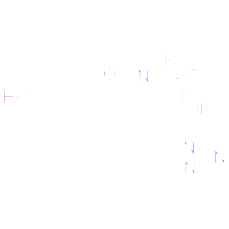 OCc1ccc(Oc2ccc(C(O)Cn3cncn3)c(C(F)(F)F)n2)cc1